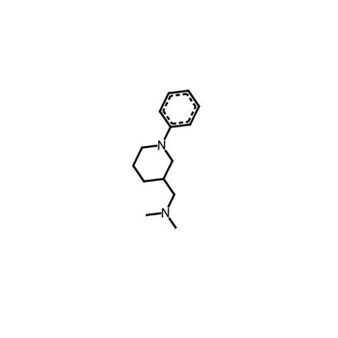 CN(C)CC1CCCN(c2ccccc2)C1